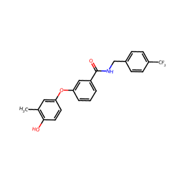 Cc1cc(Oc2cccc(C(=O)NCc3ccc(C(F)(F)F)cc3)c2)ccc1O